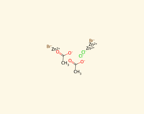 CC(=O)[O-].CC(=O)[O-].[Br-].[Br-].[Cl-].[Cl-].[Zn+2].[Zn+2].[Zn+2]